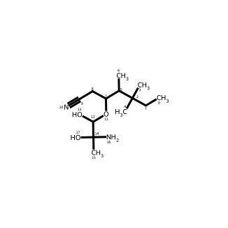 CCC(C)(C)C(C)C(CC#N)OC(O)C(C)(N)O